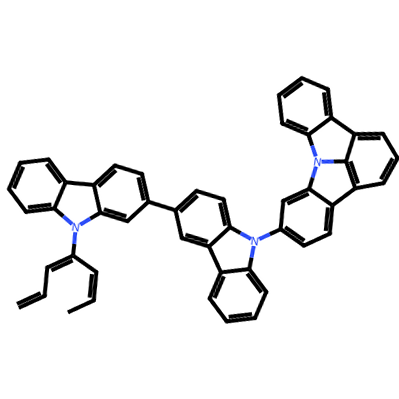 C=C/C=C(\C=C/C)n1c2ccccc2c2ccc(-c3ccc4c(c3)c3ccccc3n4-c3ccc4c5cccc6c7ccccc7n(c4c3)c65)cc21